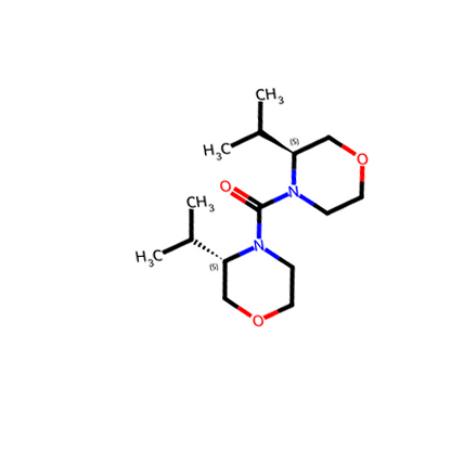 CC(C)[C@H]1COCCN1C(=O)N1CCOC[C@@H]1C(C)C